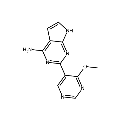 COc1ncncc1-c1nc(N)c2cc[nH]c2n1